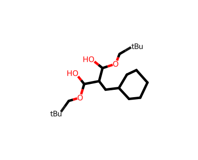 CC(C)(C)COC(O)C(CC1CCCCC1)C(O)OCC(C)(C)C